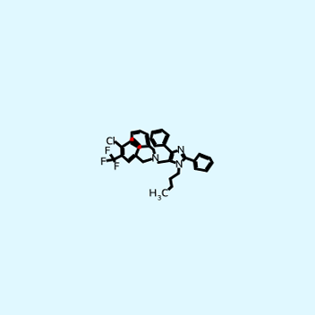 CCCCn1c(-c2ccccc2)nc(-c2ccccc2)c1CN(Cc1ccccc1)Cc1ccc(Cl)c(C(F)(F)F)c1